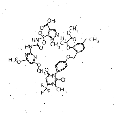 CCc1ccc(COc2ccc(-n3c(=O)cc(C(F)(F)F)n(C)c3=O)cc2)c(OC(C)C(=O)OC)c1.COc1cc(OC)nc(NC(=O)NS(=O)(=O)c2c(C(=O)O)cnn2C)n1